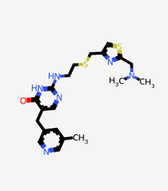 Cc1cncc(Cc2cnc(NCCSCc3csc(CN(C)C)n3)[nH]c2=O)c1